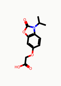 CC(C)n1c(=O)oc2cc(OCC(=O)O)ccc21